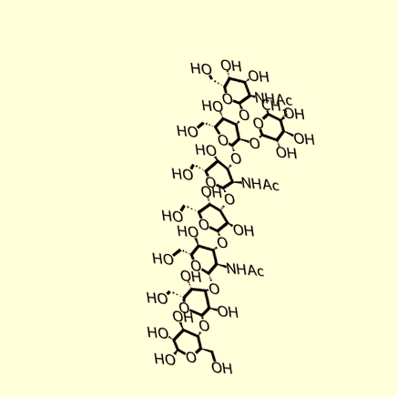 CC(=O)N[C@H]1[C@@H](O[C@H]2[C@@H](O)[C@@H](CO)O[C@@H](O[C@H]3[C@H](O)[C@@H](CO)O[C@@H](O[C@H]4[C@@H](O)[C@@H](CO)O[C@@H](O[C@H]5[C@H](O)[C@@H](CO)O[C@@H](O[C@H]6[C@@H](O)[C@@H](CO)O[C@@H](O[C@H]7[C@H](O)[C@@H](O)[C@H](O)O[C@@H]7CO)[C@@H]6O)[C@@H]5NC(C)=O)[C@@H]4O)[C@@H]3NC(C)=O)[C@@H]2O[C@@H]2O[C@@H](C)[C@@H](O)[C@@H](O)[C@@H]2O)O[C@H](CO)[C@H](O)[C@@H]1O